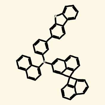 c1cc(-c2ccc3c(c2)oc2ccccc23)cc(N(c2cc3c4c(cccc4c2)C32c3cccc4cccc2c34)c2cccc3ccccc23)c1